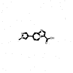 Cn1cc(-c2ccn3c(C(=O)O)cnc3c2)cn1